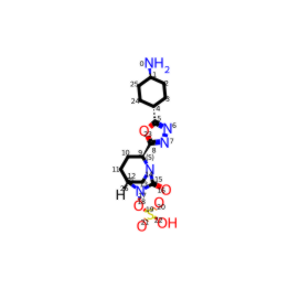 N[C@H]1CC[C@H](c2nnc([C@@H]3CC[C@@H]4CN3C(=O)N4OS(=O)(=O)O)o2)CC1